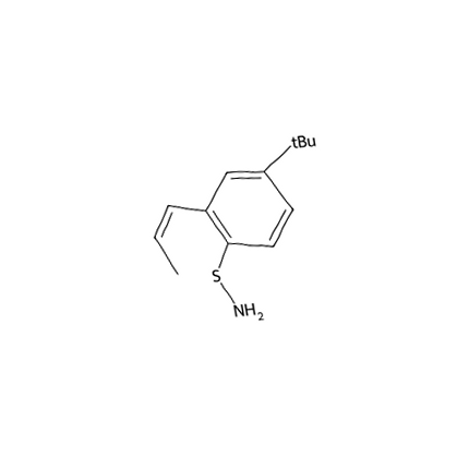 C/C=C\c1cc(C(C)(C)C)ccc1SN